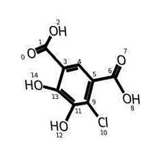 O=C(O)c1cc(C(=O)O)c(Cl)c(O)c1O